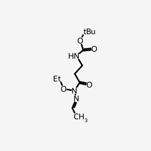 C/C=N/N(OCC)C(=O)CCNC(=O)OC(C)(C)C